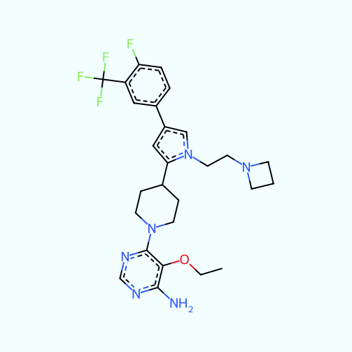 CCOc1c(N)ncnc1N1CCC(c2cc(-c3ccc(F)c(C(F)(F)F)c3)cn2CCN2CCC2)CC1